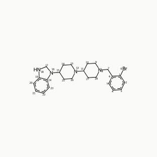 Brc1ccccc1CN1CCC(N2CCC(N3CNc4ccccc43)CC2)CC1